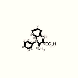 C=C1C(C(=O)O)=Nc2cccnc2N1c1ccccc1